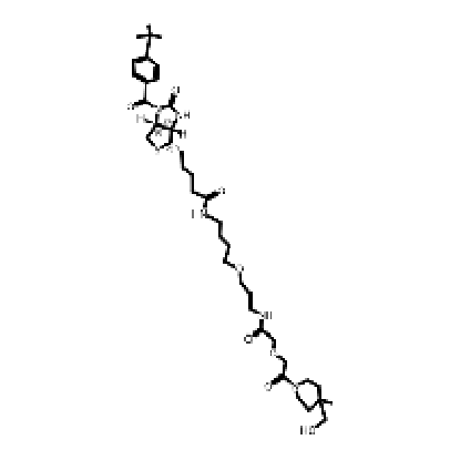 CC1(CO)CCN(C(=O)COCC(=O)NCCCOCCCCNC(=O)CCCC[C@@H]2SC[C@H]3[C@@H]2NC(=O)N3C(=O)c2ccc(C(C)(C)C)cc2)CC1